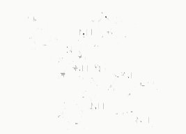 NC(=O)CC[C@H](NC(=O)[C@@H]1CCCN1C(=O)[C@H](Cc1c[nH]c2ccccc12)NC(=O)[C@H](Cc1ccc(O)cc1)NC(=O)[C@@H](N)Cc1c[nH]c2ccccc12)C(=O)O